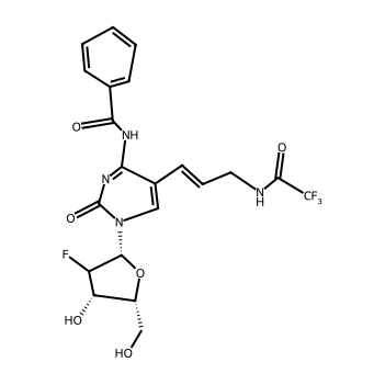 O=C(Nc1nc(=O)n([C@@H]2O[C@H](CO)[C@H](O)C2F)cc1/C=C/CNC(=O)C(F)(F)F)c1ccccc1